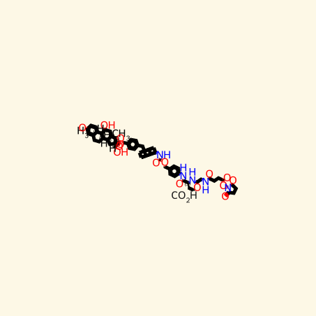 C[C@]12C=CC(=O)C=C1CC[C@@H]1[C@@H]2[C@@H](O)C[C@@]2(C)[C@H]1C[C@H]1OC(c3ccc(CC45C6C7C4C4C5C6C74NC(=O)OCc4ccc(NC(=O)[C@H](CCC(=O)O)NC(=O)CNC(=O)CCC(=O)ON5C(=O)CCC5=O)cc4)cc3)O[C@]12C(=O)CO